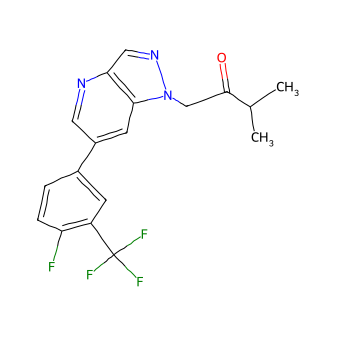 CC(C)C(=O)Cn1ncc2ncc(-c3ccc(F)c(C(F)(F)F)c3)cc21